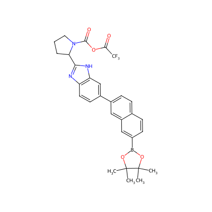 CC1(C)OB(c2ccc3ccc(-c4ccc5nc(C6CCCN6C(=O)OC(=O)C(F)(F)F)[nH]c5c4)cc3c2)OC1(C)C